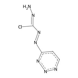 NN=C(Cl)N=Nc1ccnnn1